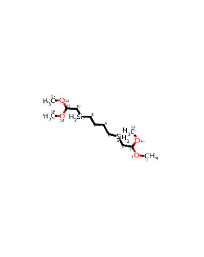 COC(C[SiH2]CCCC[SiH2]CC(OC)OC)OC